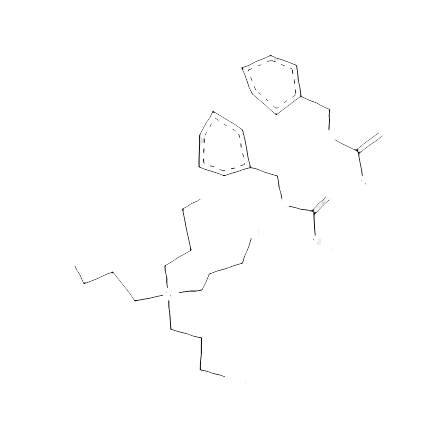 CCCC[N+](CCCC)(CCCC)CCCC.NC(=S)OCc1ccccc1.NC(=S)OCc1ccccc1